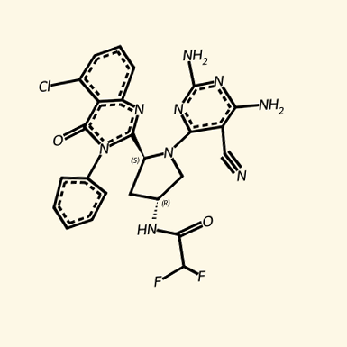 N#Cc1c(N)nc(N)nc1N1C[C@H](NC(=O)C(F)F)C[C@H]1c1nc2cccc(Cl)c2c(=O)n1-c1ccccc1